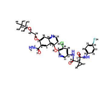 CNC(=O)c1cc2c(Oc3ncc(NC(=O)C4(C(=O)Nc5ccc(F)cc5)CC4)cc3Cl)ccnc2cc1OCCO[Si](C)(C)C(C)(C)C